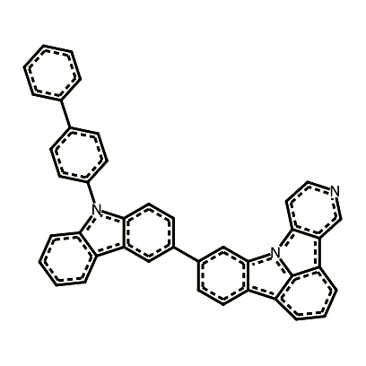 c1ccc(-c2ccc(-n3c4ccccc4c4cc(-c5ccc6c7cccc8c9cnccc9n(c6c5)c87)ccc43)cc2)cc1